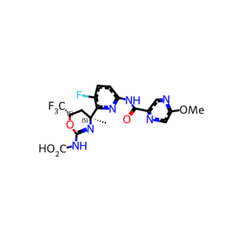 COc1cnc(C(=O)Nc2ccc(F)c([C@]3(C)C[C@@H](C(F)(F)F)OC(NC(=O)O)=N3)n2)cn1